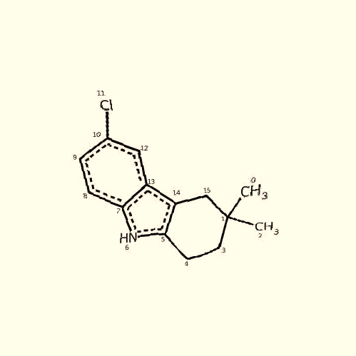 CC1(C)CCc2[nH]c3ccc(Cl)cc3c2C1